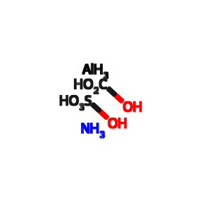 N.O=C(O)O.O=S(=O)(O)O.[AlH3]